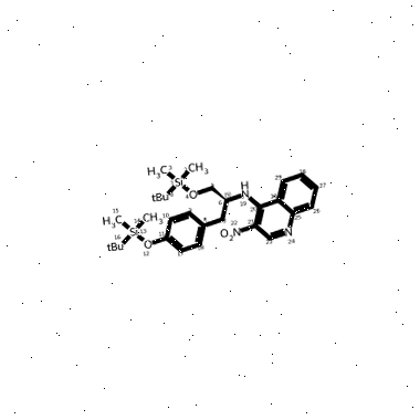 CC(C)(C)[Si](C)(C)OC[C@H](Cc1ccc(O[Si](C)(C)C(C)(C)C)cc1)Nc1c([N+](=O)[O-])cnc2ccccc12